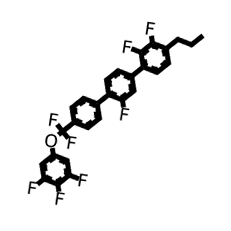 CCCc1ccc(-c2ccc(-c3ccc(C(F)(F)Oc4cc(F)c(F)c(F)c4)cc3)c(F)c2)c(F)c1F